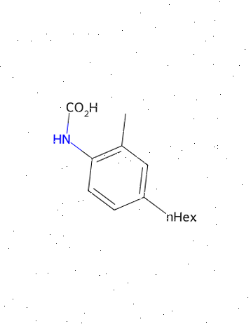 CCCCCCc1ccc(NC(=O)O)c(C)c1